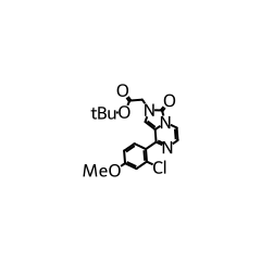 COc1ccc(-c2nccn3c(=O)n(CC(=O)OC(C)(C)C)cc23)c(Cl)c1